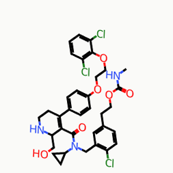 CNC(=O)OCCc1ccc(Cl)c(CN(C(=O)C2=C(c3ccc(OCCOc4c(Cl)cccc4Cl)cc3)CCNC2CO)C2CC2)c1